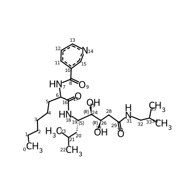 CCCCCCC(NC(=O)c1cccnc1)C(=O)N[C@@H](CC(C)C)[C@@H](O)[C@H](O)CC(=O)NCC(C)C